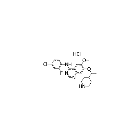 COc1cc2c(Nc3ccc(Cl)cc3F)ncnc2cc1OC(C)C1CCNCC1.Cl